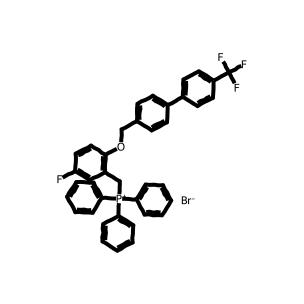 Fc1ccc(OCc2ccc(-c3ccc(C(F)(F)F)cc3)cc2)c(C[P+](c2ccccc2)(c2ccccc2)c2ccccc2)c1.[Br-]